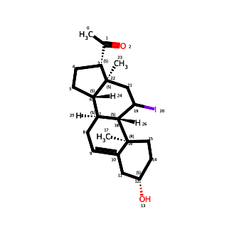 CC(=O)[C@H]1CC[C@H]2[C@@H]3CC=C4C[C@@H](O)CC[C@]4(C)[C@H]3C(I)C[C@]12C